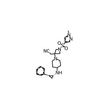 Cn1cc(S(=O)(=O)N2CC(CC#N)(N3CCC(N[C@@H]4C[C@H]4c4ccccc4)CC3)C2)cn1